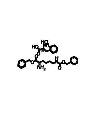 Cl.N[C@@H](CCCCNC(=O)OCc1ccccc1)C(=O)OCc1ccccc1.N[C@@H](Cc1ccccc1)C(=O)O